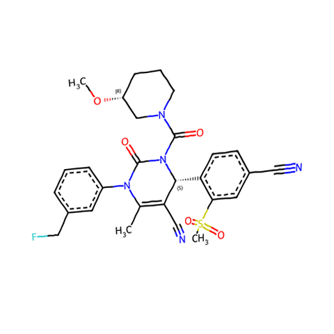 CO[C@@H]1CCCN(C(=O)N2C(=O)N(c3cccc(CF)c3)C(C)=C(C#N)[C@H]2c2ccc(C#N)cc2S(C)(=O)=O)C1